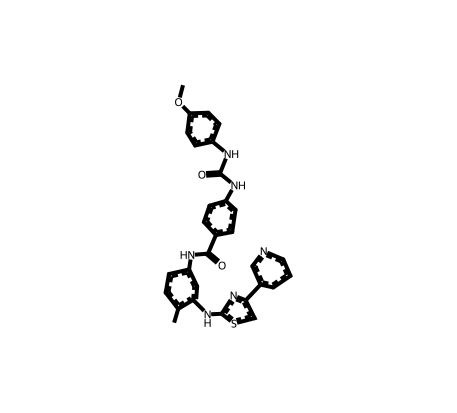 COc1ccc(NC(=O)Nc2ccc(C(=O)Nc3ccc(C)c(Nc4nc(-c5cccnc5)cs4)c3)cc2)cc1